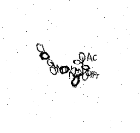 CC(=O)OCC(=O)c1ccc(OC(C)C)c(-n2c(CN3CCN(C(=O)COc4ccc(Cl)cc4)CC3)nc3ccccc3c2=O)c1